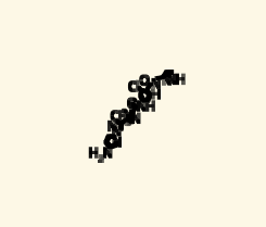 Cn1c(-c2cn(-c3ccc(N)cn3)nc2C(F)(F)F)cnc1C(=O)Nc1ccc(C(=O)NCc2cc[nH]n2)c(Cl)c1